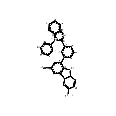 CC(C)(C)C1=CC2c3cc(C(C)(C)C)cc(-c4cccc(-c5nc6ccccc6n5-c5ccccc5)c4)c3SC2C=C1